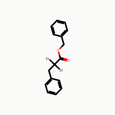 CCC(CC)(Cc1ccccc1)C(=O)OCc1ccccc1